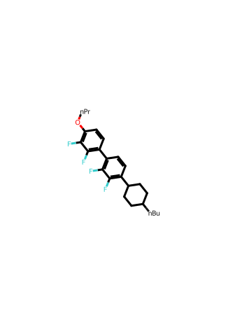 CCCCC1CCC(c2ccc(-c3ccc(OCCC)c(F)c3F)c(F)c2F)CC1